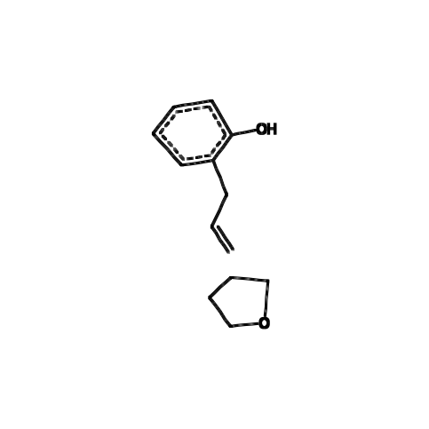 C1CCOC1.C=CCc1ccccc1O